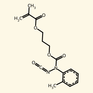 C=C(C)C(=O)OCCCOC(=O)N(N=C=O)c1ccccc1C